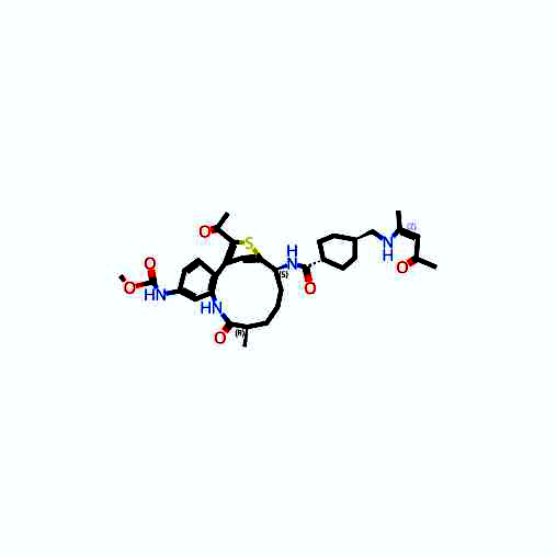 COC(=O)Nc1ccc2c(c1)NC(=O)[C@H](C)CCC[C@H](NC(=O)[C@H]1CC[C@H](CN/C(C)=C\C(C)=O)CC1)c1cc-2c(C(C)=O)s1